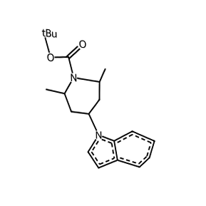 CC1CC(n2ccc3ccccc32)CC(C)N1C(=O)OC(C)(C)C